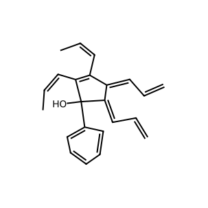 C=C/C=C1C(/C=C\C)=C(/C=C\C)C(O)(c2ccccc2)C/1=C/C=C